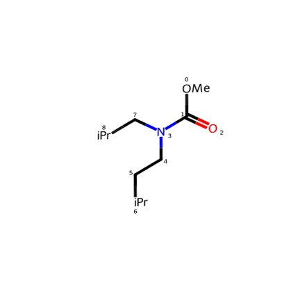 COC(=O)N(CCC(C)C)CC(C)C